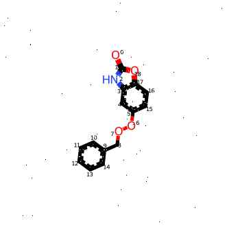 O=c1[nH]c2cc(OOCc3ccccc3)ccc2o1